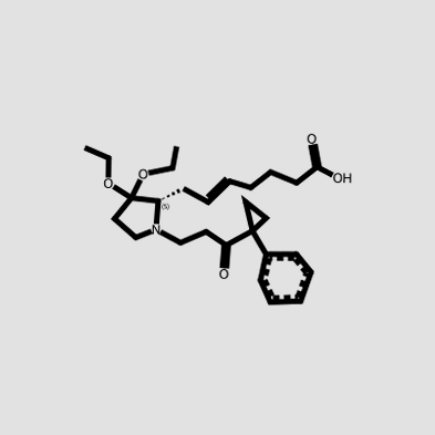 CCOC1(OCC)CCN(CCC(=O)C2(c3ccccc3)CC2)[C@H]1CC=CCCCC(=O)O